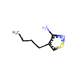 CCCCc1csnc1N